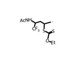 [CH2]C(CC(NC(C)=O)C(F)(F)F)SC(=S)OCC